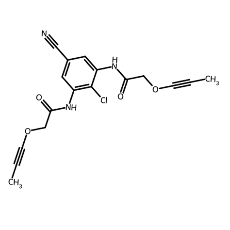 CC#COCC(=O)Nc1cc(C#N)cc(NC(=O)COC#CC)c1Cl